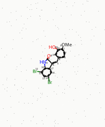 COc1ccc(C=C2C(=O)Nc3c(Br)cc(Br)cc32)cc1O